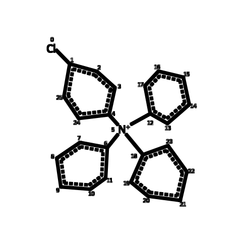 Clc1ccc([N+](c2ccccc2)(c2ccccc2)c2ccccc2)cc1